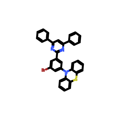 Brc1cc(-c2nc(-c3ccccc3)cc(-c3ccccc3)n2)cc(N2c3ccccc3Sc3ccccc32)c1